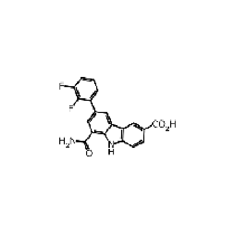 NC(=O)c1cc(-c2cccc(F)c2F)cc2c1[nH]c1ccc(C(=O)O)cc12